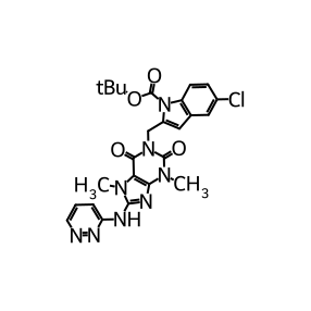 Cn1c(Nc2cccnn2)nc2c1c(=O)n(Cc1cc3cc(Cl)ccc3n1C(=O)OC(C)(C)C)c(=O)n2C